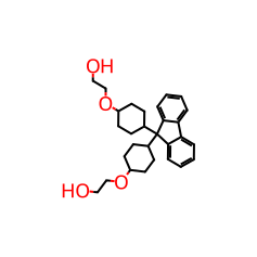 OCCOC1CCC(C2(C3CCC(OCCO)CC3)c3ccccc3-c3ccccc32)CC1